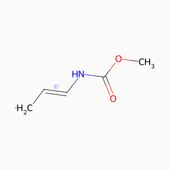 [CH2]/C=C/NC(=O)OC